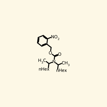 CCCCCCC(C)N(C(=O)OCc1ccccc1[N+](=O)[O-])C(C)CCCCCC